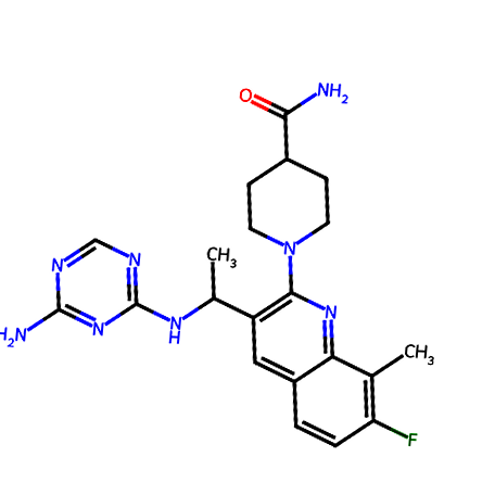 Cc1c(F)ccc2cc(C(C)Nc3ncnc(N)n3)c(N3CCC(C(N)=O)CC3)nc12